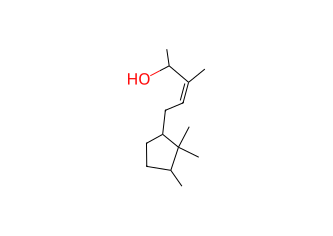 CC(=CCC1CCC(C)C1(C)C)C(C)O